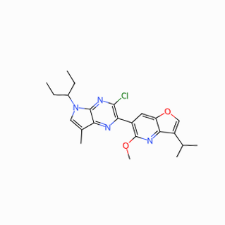 CCC(CC)n1cc(C)c2nc(-c3cc4occ(C(C)C)c4nc3OC)c(Cl)nc21